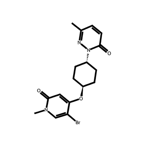 Cc1ccc(=O)n([C@H]2CC[C@H](Oc3cc(=O)n(C)cc3Br)CC2)n1